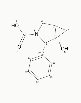 O=C(O)N1CC2C[C@@]2(O)[C@@H]1c1ccccc1